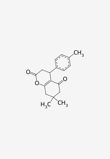 Cc1ccc(C2CC(=O)OC3=C2C(=O)CC(C)(C)C3)cc1